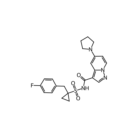 O=C(NS(=O)(=O)C1(Cc2ccc(F)cc2)CC1)c1cnn2ccc(N3CCCC3)cc12